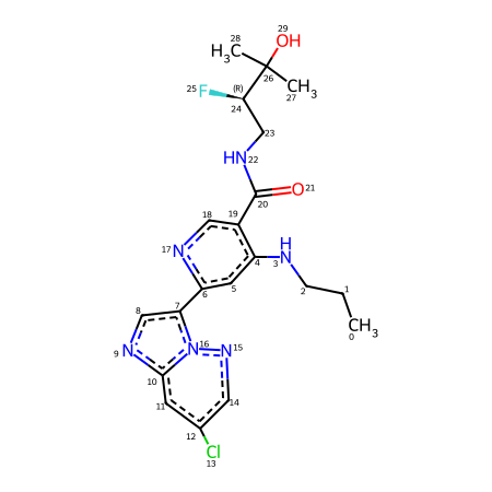 CCCNc1cc(-c2cnc3cc(Cl)cnn23)ncc1C(=O)NC[C@@H](F)C(C)(C)O